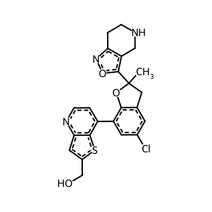 CC1(c2onc3c2CNCC3)Cc2cc(Cl)cc(-c3ccnc4cc(CO)sc34)c2O1